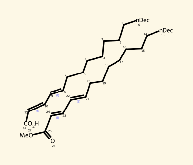 CCCCCCCCCCCCCCCCC/C=C/C=C/C(=O)O.CCCCCCCCCCCCCCCCC/C=C/C=C/C(=O)OC